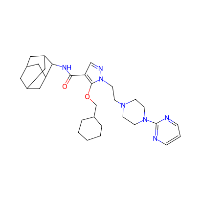 O=C(NC1C2CC3CC(C2)CC1C3)c1cnn(CCN2CCN(c3ncccn3)CC2)c1OCC1CCCCC1